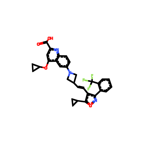 O=C(O)c1cc(OC2CC2)c2cc(N3CC(/C=C/c4c(-c5ccccc5C(F)(F)F)noc4C4CC4)C3)ccc2n1